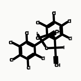 C#CC(I)(OC(I)(C#C)c1c(Cl)c(Cl)c(Cl)c(Cl)c1Cl)c1c(Cl)c(Cl)c(Cl)c(Cl)c1Cl